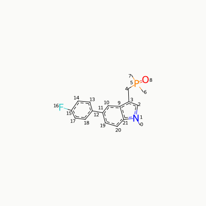 Cn1cc(CP(C)(C)=O)c2cc(-c3ccc(F)cc3)ccc21